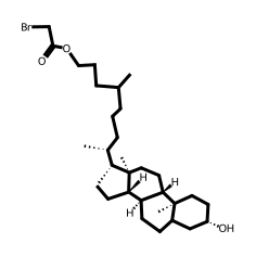 CC(CCCOC(=O)CBr)CCC[C@@H](C)[C@H]1CC[C@H]2[C@@H]3CCC4C[C@@H](O)CC[C@]4(C)[C@H]3CC[C@]12C